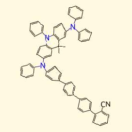 CC1(C)c2cc(N(c3ccccc3)c3ccccc3)ccc2N(c2ccccc2)c2ccc(N(c3ccccc3)c3ccc(-c4ccc(-c5ccc(-c6ccccc6C#N)cc5)cc4)cc3)cc21